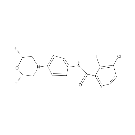 C[C@@H]1CN(c2ccc(NC(=O)c3nccc(Cl)c3I)cc2)C[C@H](C)O1